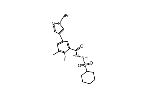 Cc1cc(-c2cnn(C(C)C)c2)cc(C(=O)NNS(=O)(=O)C2CCCCC2)c1F